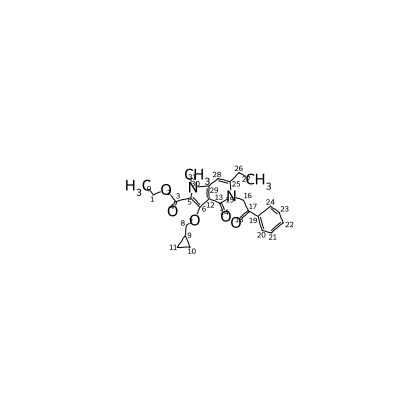 CCOC(=O)c1c(OCC2CC2)c2c(=O)n(CC(=O)c3ccccc3)c(CC)cc2n1C